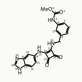 COC(=O)Nc1cccc(CNc2c(Nc3ccc4[nH]cnc4c3)c(=O)c2=O)c1